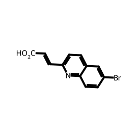 O=C(O)/C=C/c1ccc2cc(Br)ccc2n1